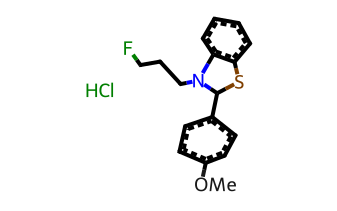 COc1ccc(C2Sc3ccccc3N2CCCF)cc1.Cl